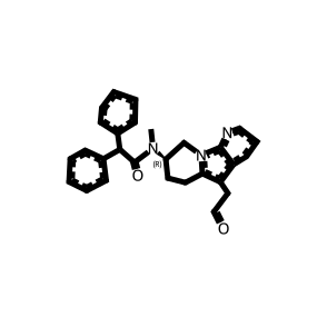 CN(C(=O)C(c1ccccc1)c1ccccc1)[C@@H]1CCc2c(CC=O)c3cccnc3n2C1